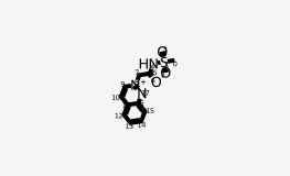 CS(=O)(=O)NC(=O)C[n+]1ccc2ccccc2n1